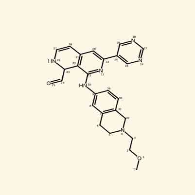 COCCN1CCc2cc(Nc3nc(-c4cncnc4)cc4c3C(C=O)NC=C4)ccc2C1